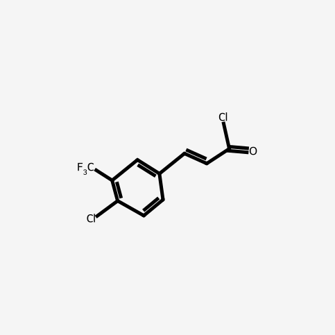 O=C(Cl)C=Cc1ccc(Cl)c(C(F)(F)F)c1